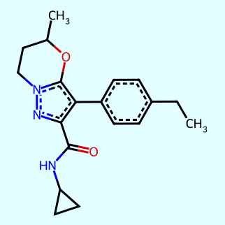 CCc1ccc(-c2c(C(=O)NC3CC3)nn3c2OC(C)CC3)cc1